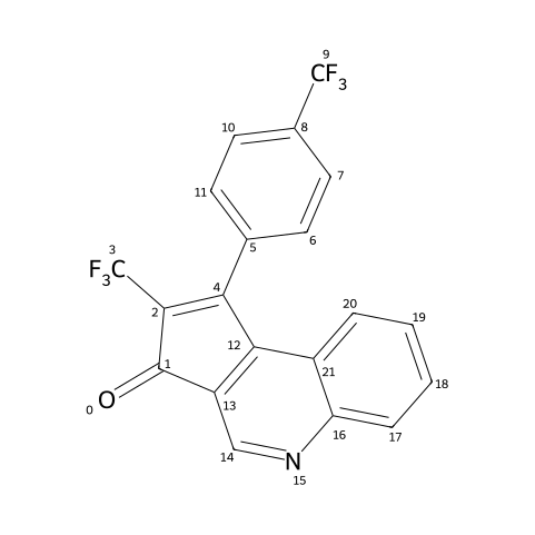 O=C1C(C(F)(F)F)=C(c2ccc(C(F)(F)F)cc2)c2c1cnc1ccccc21